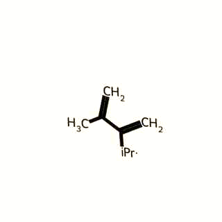 C=C(C)C(=C)[C](C)C